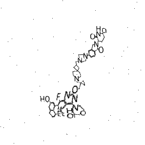 CCc1cccc2cc(O)cc(-c3ncc4c(N5CCOC[C@](C)(O)C5)nc(OCC5(CN6CCC7(CC6)CC(CN6CCN(c8ccc9c(c8)CN([C@H]8CCC(=O)NC8=O)C9=O)CC6)C7)CC5)nc4c3F)c12